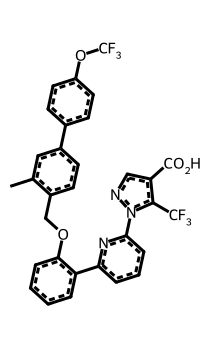 Cc1cc(-c2ccc(OC(F)(F)F)cc2)ccc1COc1ccccc1-c1cccc(-n2ncc(C(=O)O)c2C(F)(F)F)n1